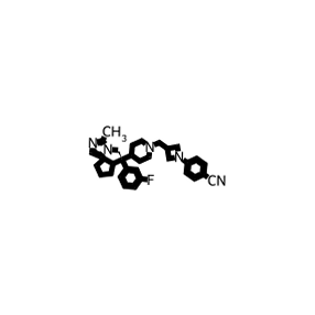 Cc1nccn1C[C@](c1cccc(F)c1)(C1CCCC1)C1CCN(CC2CN(c3ccc(C#N)cc3)C2)CC1